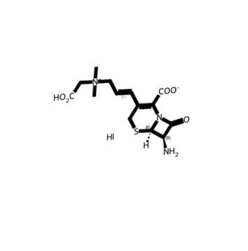 C[N+](C)(C/C=C/C1=C(C(=O)[O-])N2C(=O)[C@@H](N)[C@H]2SC1)CC(=O)O.I